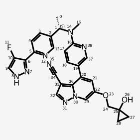 C[C@@H](c1ccc(-c2n[nH]cc2F)nc1)N(C)c1ccc(-c2cc(OCC3(O)CC3)cn3ncc(C#N)c23)cn1